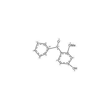 COc1cc(O)ccc1[S+]([O-])c1ccccc1